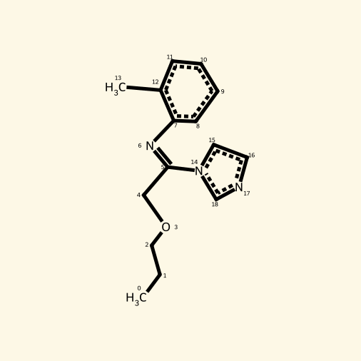 CCCOC/C(=N/c1ccccc1C)n1ccnc1